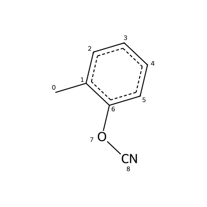 Cc1ccccc1OC#N